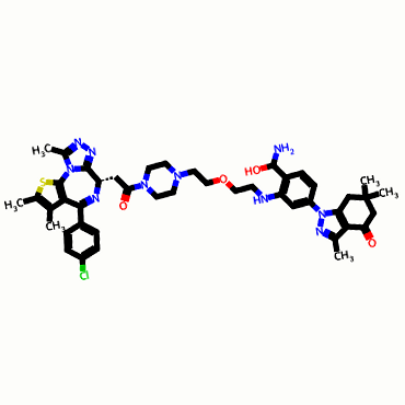 Cc1nn(-c2ccc(C(N)O)c(NCCOCCN3CCN(C(=O)C[C@@H]4N=C(c5ccc(Cl)cc5)c5c(sc(C)c5C)-n5c(C)nnc54)CC3)c2)c2c1C(=O)CC(C)(C)C2